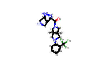 O=C(c1n[nH]c2c1CNC2)N1C[C@@H]2CN(c3ccccc3C(F)(F)F)C[C@@H]2C1